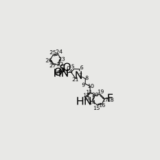 O=S(=O)(NC1CCN(CCCc2c[nH]c3ccc(F)cc23)C1)c1ccccc1